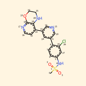 CS(=O)(=O)Nc1ccc(-c2cncc(-c3ccnc4c3NCCO4)c2)c(Cl)c1